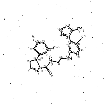 Cc1nnnn1-c1nc(NCCNC(=O)N2N=CC[C@H]2c2cc(F)cc(F)c2)ncc1F